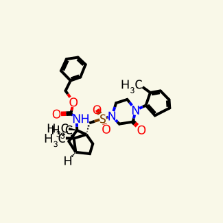 Cc1ccccc1N1CCN(S(=O)(=O)C[C@@]23CC[C@@H](C[C@]2(C)NC(=O)OCc2ccccc2)C3(C)C)CC1=O